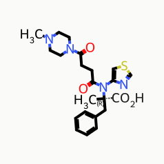 CN1CCN(C(=O)CCC(=O)N(c2cscn2)[C@](C)(Cc2ccccc2)C(=O)O)CC1